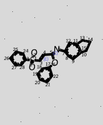 O=S(=O)(/C=C/C(=N/c1ccc2c(c1)CCC2)Oc1ccccc1)c1ccccc1